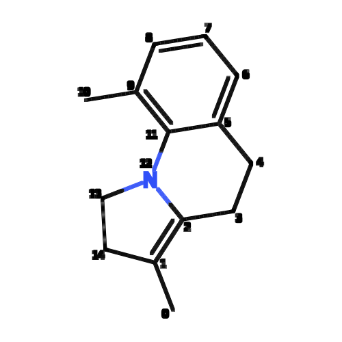 CC1=C2CCc3cccc(C)c3N2CC1